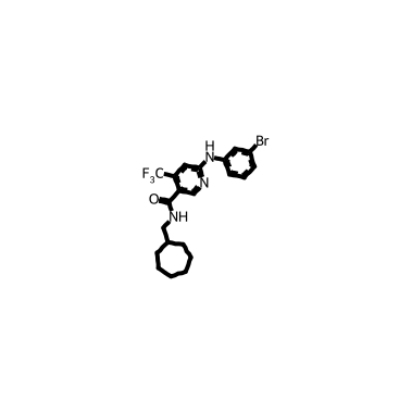 O=C(NCC1CCCCCC1)c1cnc(Nc2cccc(Br)c2)cc1C(F)(F)F